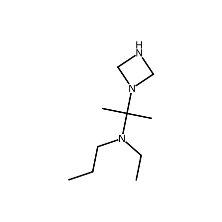 CCCN(CC)C(C)(C)N1CNC1